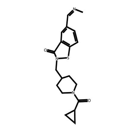 C/N=C\c1ccc2sn(CC3CCN(C(=O)C4CC4)CC3)c(=O)c2c1